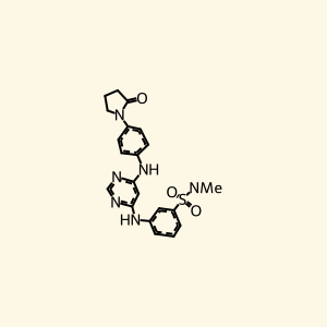 CNS(=O)(=O)c1cccc(Nc2cc(Nc3ccc(N4CCCC4=O)cc3)ncn2)c1